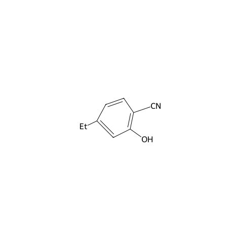 CCc1ccc(C#N)c(O)c1